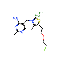 Cc1ncc(C[n+]2csc(CCOCCF)c2C)c(N)n1.Cl.[Cl-]